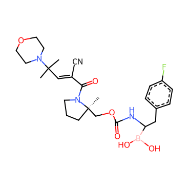 CC(C)(C=C(C#N)C(=O)N1CCC[C@]1(C)COC(=O)NC(Cc1ccc(F)cc1)B(O)O)N1CCOCC1